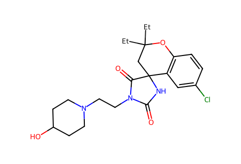 CCC1(CC)CC2(NC(=O)N(CCN3CCC(O)CC3)C2=O)c2cc(Cl)ccc2O1